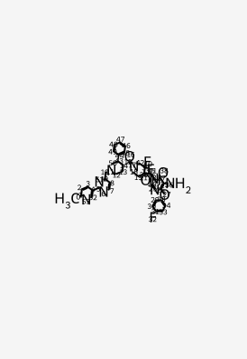 Cc1ccc(-c2nccc(CN3CC[C@@H](C(=O)N4CC[C@](O)(Cn5cnc(Oc6ccc(F)cc6)c(N)c5=O)C(F)(F)C4)[C@H](c4ccccc4)C3)n2)cn1